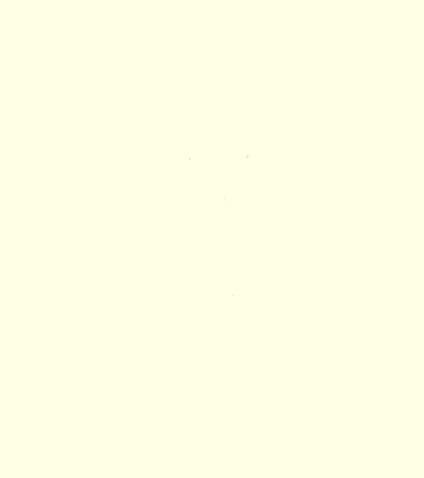 O=C1c2ccccc2C(=O)c2c1ccc(Cl)c2Cl.OB(O)O